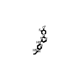 CCc1nc2cnc(Nc3ccnc(N4CCC(OC)C(F)C4)n3)cc2[nH]1